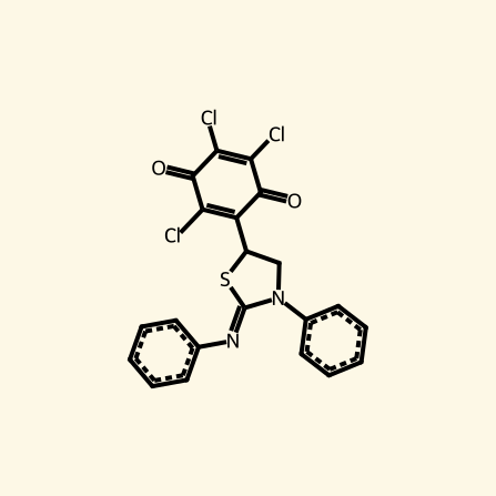 O=C1C(Cl)=C(Cl)C(=O)C(C2CN(c3ccccc3)C(=Nc3ccccc3)S2)=C1Cl